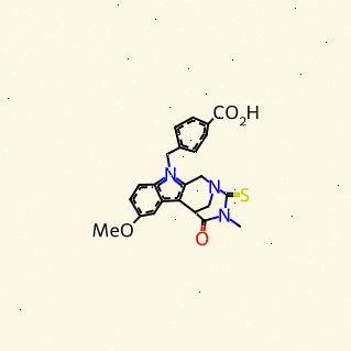 COc1ccc2c(c1)c1c(n2Cc2ccc(C(=O)O)cc2)CN2CC1C(=O)N(C)C2=S